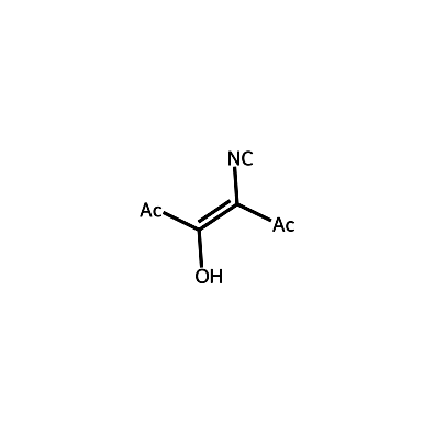 [C-]#[N+]/C(C(C)=O)=C(/O)C(C)=O